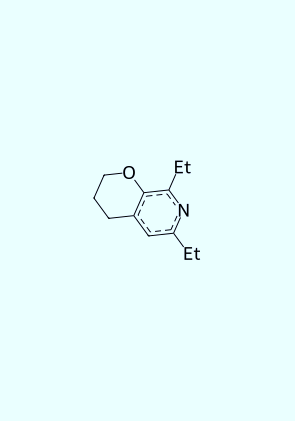 CCc1cc2c(c(CC)n1)OCCC2